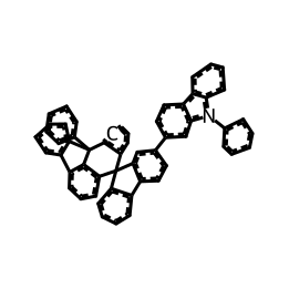 c1ccc(-n2c3ccccc3c3ccc(-c4ccc5c(c4)C4(c6ccccc6-5)c5ccccc5C5(c6ccccc6)c6ccccc6-c6cccc4c65)cc32)cc1